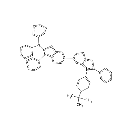 CC(C)(C)C1C=CC(n2c(-c3ccccc3)cc3ccc(-c4ccc5c(c4)cc(N(c4ccccc4)c4ccccc4)n5-c4ccccc4)cc32)=CC1